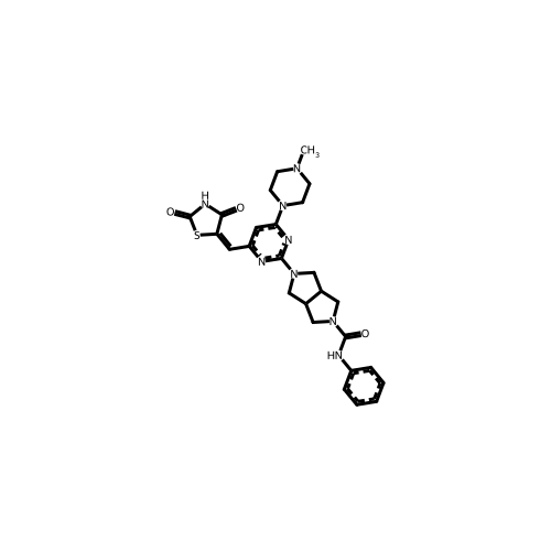 CN1CCN(c2cc(/C=C3/SC(=O)NC3=O)nc(N3CC4CN(C(=O)Nc5ccccc5)CC4C3)n2)CC1